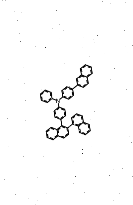 c1ccc(N(c2ccc(-c3ccc4ccccc4c3)cc2)c2ccc(-c3c(-c4cccc5ccccc45)ccc4ccccc34)cc2)cc1